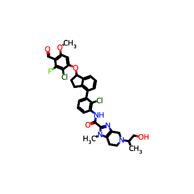 COc1cc(OC2CCc3c(-c4cccc(NC(=O)c5nc6c(n5C)CCN(C(C)CO)C6)c4Cl)cccc32)c(Cl)c(F)c1C=O